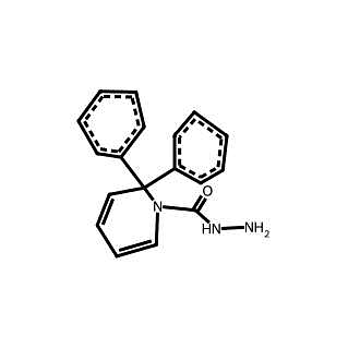 NNC(=O)N1C=CC=CC1(c1ccccc1)c1ccccc1